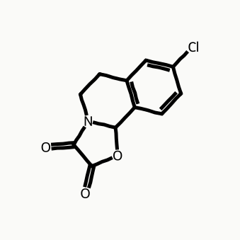 O=C1OC2c3ccc(Cl)cc3CCN2C1=O